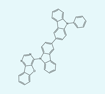 c1ccc(-n2c3ccccc3c3cc(-c4ccc5c(c4)c4ccccc4n5-c4ncnc5c4oc4ccccc45)ccc32)cc1